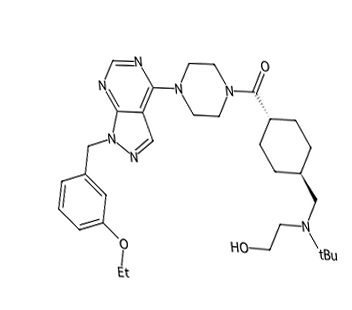 CCOc1cccc(Cn2ncc3c(N4CCN(C(=O)[C@H]5CC[C@H](CN(CCO)C(C)(C)C)CC5)CC4)ncnc32)c1